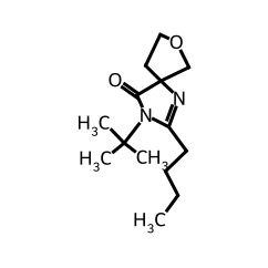 CCCCC1=NC2(CCOC2)C(=O)N1C(C)(C)C